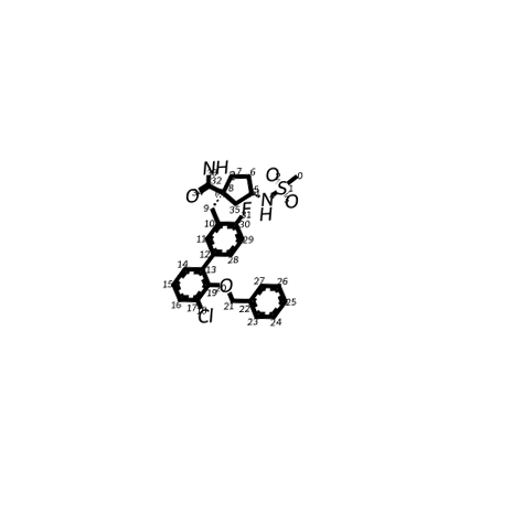 CS(=O)(=O)N[C@H]1CC[C@](Cc2cc(-c3cccc(Cl)c3OCc3ccccc3)ccc2F)(C(N)=O)C1